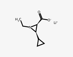 CCN1[C@H](C2CC2)[C@@H]1C(=O)[O-].[Li+]